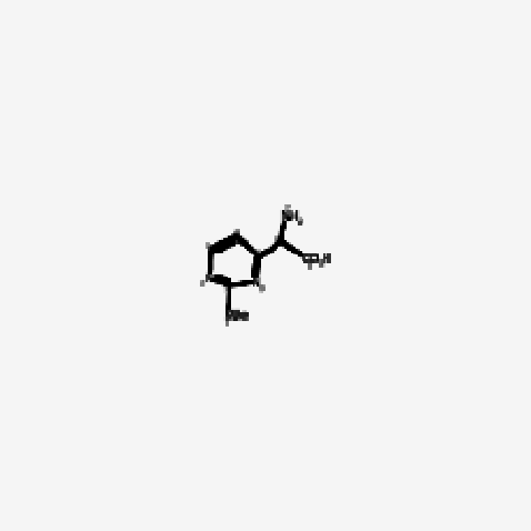 CSc1nccc(C(N)C(=O)O)n1